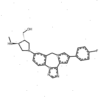 CN[C@@H]1CN(c2ccc3c(c2)Cn2cc(-c4ccc(F)cc4)cc2-c2ncnn2-3)C[C@H]1CO